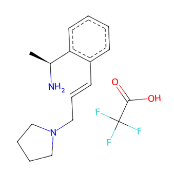 C[C@H](N)c1ccccc1/C=C/CN1CCCC1.O=C(O)C(F)(F)F